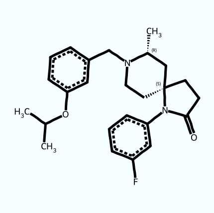 CC(C)Oc1cccc(CN2CC[C@@]3(CCC(=O)N3c3cccc(F)c3)C[C@H]2C)c1